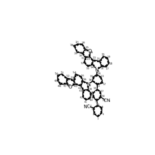 N#Cc1ccccc1-c1ccc(-c2ccc(-n3c4ccccc4c4c5oc6ccccc6c5ccc43)cc2-n2c3ccccc3c3c4oc5ccccc5c4ccc32)cc1C#N